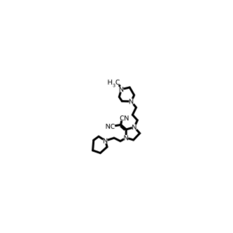 CN1CCN(CCCN2CCN(CCN3CCCCC3)C2=C(C#N)C#N)CC1